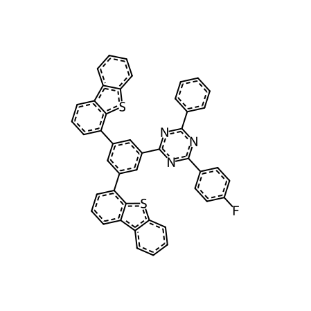 Fc1ccc(-c2nc(-c3ccccc3)nc(-c3cc(-c4cccc5c4sc4ccccc45)cc(-c4cccc5c4sc4ccccc45)c3)n2)cc1